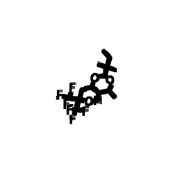 CCC(C)(C)C(=O)OC(CC(O)(C(F)(F)F)C(F)(F)F)C(C)C(C)C